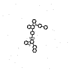 c1ccc(-c2ccc(-n3c4ccccc4c4c5ccccc5c(-c5ccc(-c6nc7c(cc(-c8ccc9ccccc9c8)c8sc9ccccc9c87)o6)cc5)cc43)cc2)cc1